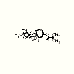 C=C(C)C(=O)OC1CCCC(C)(OC2(C)COC(C)(O)C2)CC1